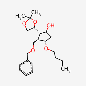 CCCCO[C@H]1CC(O)[C@@H](C2COC(C)(C)O2)[C@@H]1COCc1ccccc1